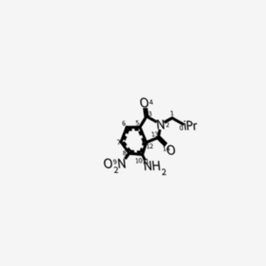 CC(C)CN1C(=O)c2ccc([N+](=O)[O-])c(N)c2C1=O